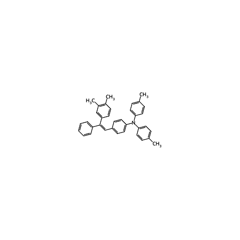 Cc1ccc(N(c2ccc(C)cc2)c2ccc(C=C(c3ccccc3)c3ccc(C)c(C)c3)cc2)cc1